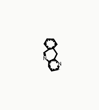 [c]1ccc2c(n1)Cc1ccccc1C=N2